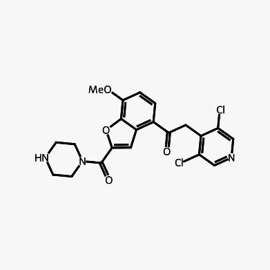 COc1ccc(C(=O)Cc2c(Cl)cncc2Cl)c2cc(C(=O)N3CCNCC3)oc12